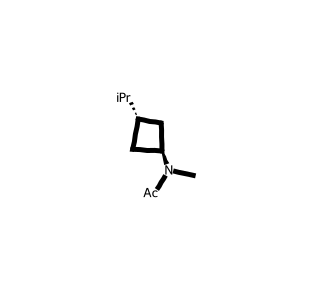 CC(=O)N(C)[C@H]1C[C@H](C(C)C)C1